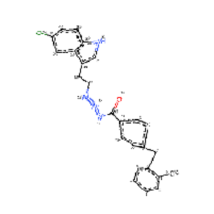 N#Cc1ccccc1Cc1ccc(C(=O)N=[N+]=NCCc2c[nH]c3ccc(Cl)cc23)cc1